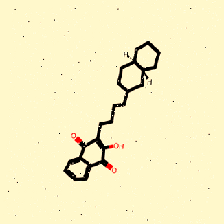 O=C1C(O)=C(CCCCC2CC[C@H]3CCCC[C@@H]3C2)C(=O)c2ccccc21